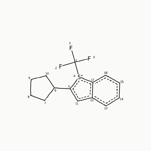 FC(F)(F)[s+]1c(C2CCCC2)cc2ccccc21